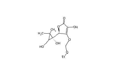 CCOCOC1=C(O)C(=O)O[C@@H]1[C@@]1(O)C(O)C1(C)C